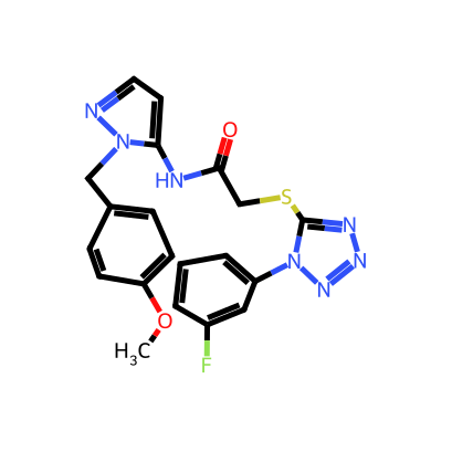 COc1ccc(Cn2nccc2NC(=O)CSc2nnnn2-c2cccc(F)c2)cc1